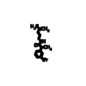 CC(C)c1cccc(C(C)C(=O)NCCCN(C)C)c1